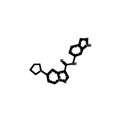 O=C(Nc1ccc2cn[nH]c2c1)c1cnn2ccc(N3CCCC3)cc12